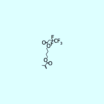 C=C(C)C(=O)OCCCCOC(=O)CC(F)(F)C(F)(F)F